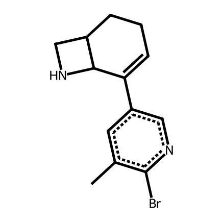 Cc1cc(C2=CCCC3CNC23)cnc1Br